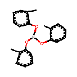 Cc1ccccc1OB(Oc1ccccc1C)Oc1ccccc1C